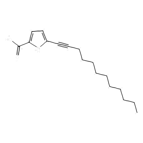 CCCCCCCCCCC#Cc1ccc(C(=O)O)[nH]1